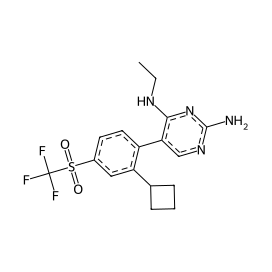 CCNc1nc(N)ncc1-c1ccc(S(=O)(=O)C(F)(F)F)cc1C1CCC1